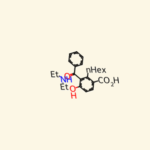 CCCCCCc1c(C(=O)O)ccc(O)c1C(=O)c1ccccc1.CCNCC